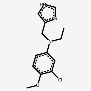 CCN(Cc1c[nH]cn1)c1ccc(OC)c(Cl)c1